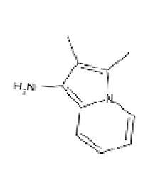 Cc1c(N)c2ccccn2c1C